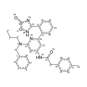 CCCN(Cc1ccccc1)c1cc(NC(=O)Cc2ccc(C)cc2)cc(-c2ccccc2-c2nc(=O)o[nH]2)n1